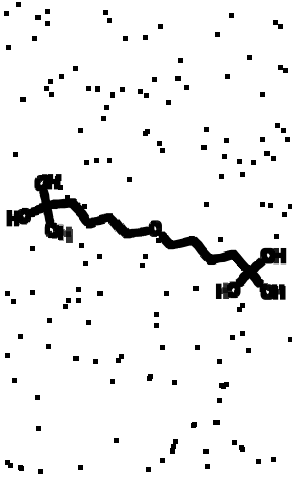 OC(O)(O)CCCCOCCCCC(O)(O)O